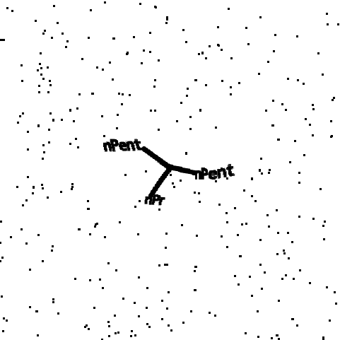 [CH2]CCCCC(CCC)CCCCC